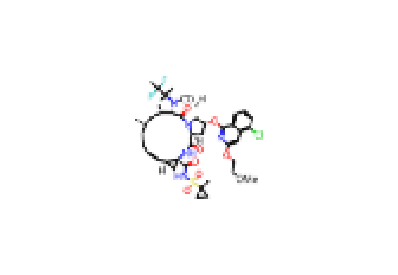 COCCOc1cc2c(Cl)cccc2c(O[C@@H]2C[C@H]3C(=O)N[C@]4(C(=O)NS(=O)(=O)C5(C)CC5)C[C@H]4/C=C\CC[C@@H](C)C[C@@H](C)[C@H](N(C(=O)O)C(C)(C)C(C)(F)F)C(=O)N3C2)n1